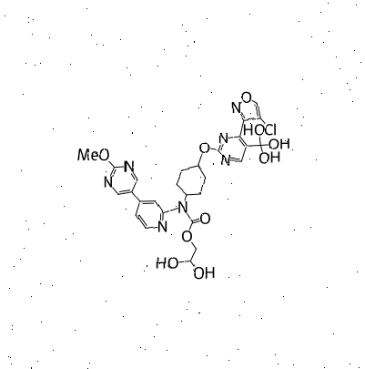 COc1ncc(-c2ccnc(N(C(=O)OCC(O)O)C3CCC(Oc4ncc(C(O)(O)O)c(-c5nocc5Cl)n4)CC3)c2)cn1